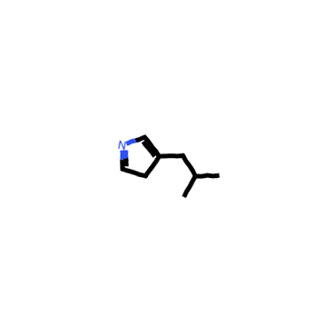 CC(C)CC1=CN=CC1